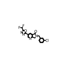 O=C1c2cc(-c3nnc(C(F)F)o3)cnc2CN1Cc1cccc(Cl)c1